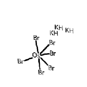 [Br][Os]([Br])([Br])([Br])([Br])[Br].[KH].[KH].[KH]